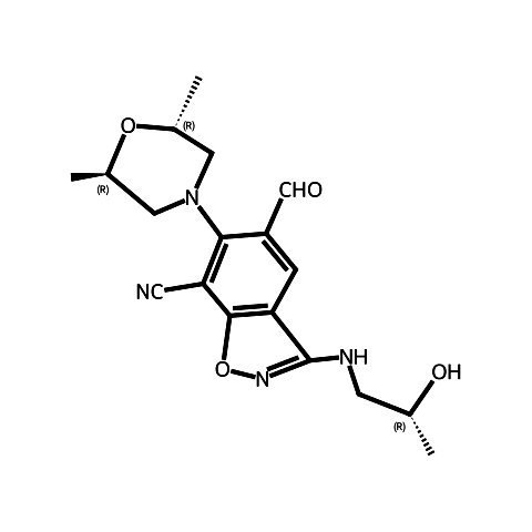 C[C@@H]1CN(c2c(C=O)cc3c(NC[C@@H](C)O)noc3c2C#N)C[C@@H](C)O1